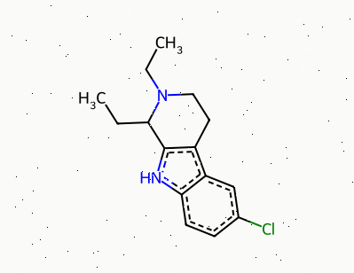 CCC1c2[nH]c3ccc(Cl)cc3c2CCN1CC